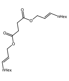 CCCCCCC=CCOC(=O)CCC(=O)OCC=CCCCCCC